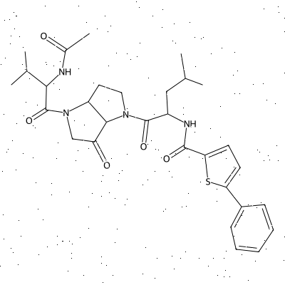 CC(=O)NC(C(=O)N1CC(=O)C2C1CCN2C(=O)C(CC(C)C)NC(=O)c1ccc(-c2ccccc2)s1)C(C)C